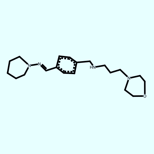 C(=N\N1CCCCC1)/c1ccc(CNCCCN2CCOCC2)cc1